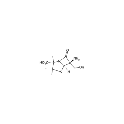 CC1(C)S[C@H]2N(C(=O)[C@]2(N)CO)[C@@]1(C)C(=O)O